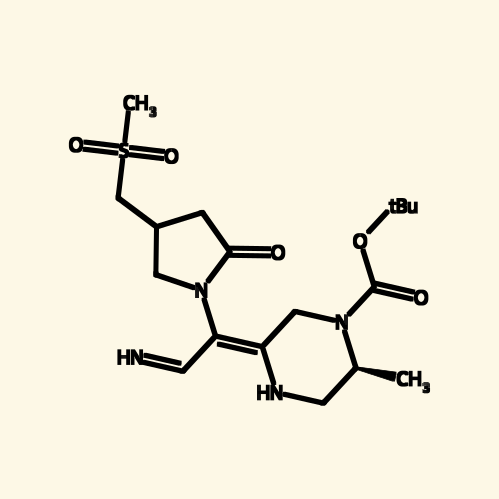 C[C@H]1CN/C(=C(\C=N)N2CC(CS(C)(=O)=O)CC2=O)CN1C(=O)OC(C)(C)C